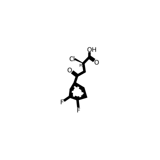 O=C(C[C@@H](Cl)C(=O)O)c1ccc(F)c(F)c1